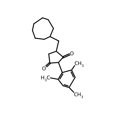 Cc1cc(C)c(C2C(=O)CC(CC3CCCCCCC3)C2=O)c(C)c1